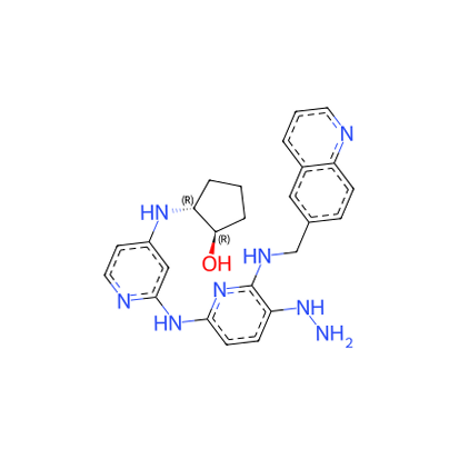 NNc1ccc(Nc2cc(N[C@@H]3CCC[C@H]3O)ccn2)nc1NCc1ccc2ncccc2c1